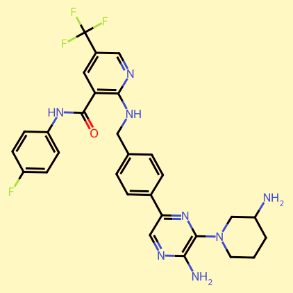 Nc1ncc(-c2ccc(CNc3ncc(C(F)(F)F)cc3C(=O)Nc3ccc(F)cc3)cc2)nc1N1CCCC(N)C1